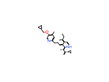 C=C(\C(C)=C1/NC=CC(=C(/C)CC)/C1=C\CCc1cc(C)c(OCC2CC2)cn1)C1CC1